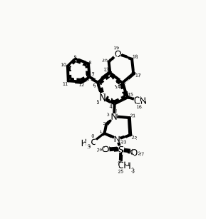 CC1CN(c2nc(-c3ccccc3)c3c(c2C#N)CCOC3)CCN1S(C)(=O)=O